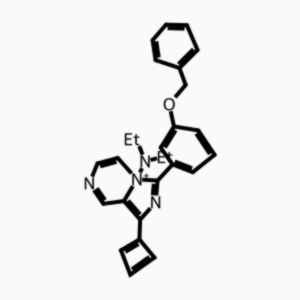 CCN(CC)[N+]12C=CN=CC1=C(C1=CC=C1)N=C2c1cccc(OCc2ccccc2)c1